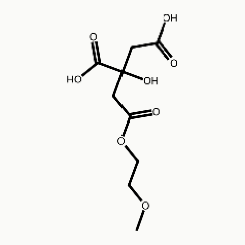 COCCOC(=O)CC(O)(CC(=O)O)C(=O)O